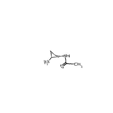 CC(=O)NN1CC1N